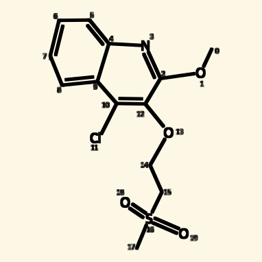 COc1nc2cc[c]cc2c(Cl)c1OCCS(C)(=O)=O